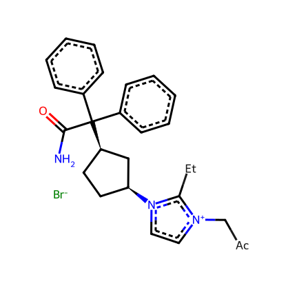 CCc1n([C@H]2CC[C@@H](C(C(N)=O)(c3ccccc3)c3ccccc3)C2)cc[n+]1CC(C)=O.[Br-]